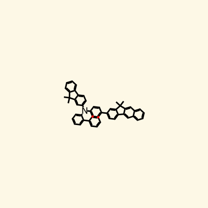 CC1(C)c2ccccc2-c2ccc(N(c3ccc(-c4ccc5c(c4)C(C)(C)c4cc6ccccc6cc4-5)cc3)c3ccccc3-c3ccccc3)cc21